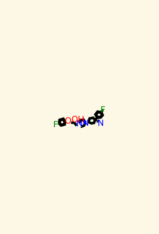 N#C[C@]1(c2ccc(F)cc2)CC[C@H](N2CCN(CC(O)COc3ccc(F)cc3)CC2)CC1